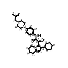 C=C(C)CN1CCN(c2ccc(NC(=O)C(=O)c3c(C4CCCCC4)cc4n3CCCC4)cc2)CC1